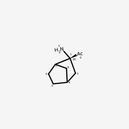 CC(=O)[C@@]1(N)CC2CCC1C2